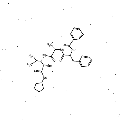 CC(C)[C@H](NC(=O)[C@H](C)NC(=O)[C@H](Cc1ccccc1)NC(=O)c1ccncc1)C(=O)C(=O)NC1CCCC1